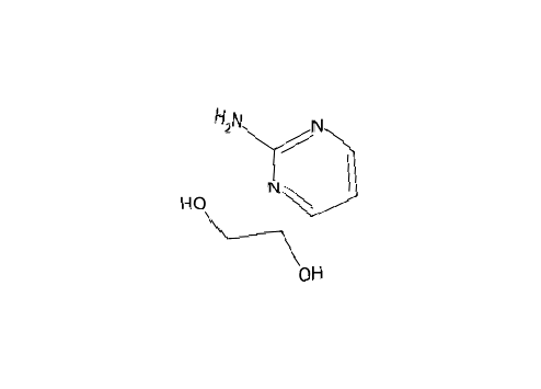 Nc1ncccn1.OCCO